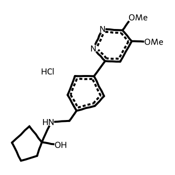 COc1cc(-c2ccc(CNC3(O)CCCC3)cc2)nnc1OC.Cl